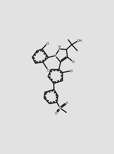 CC(C)(O)C1NN(c2c(Cl)cccc2Cl)C(c2ccc(-c3cccc(S(C)(=O)=O)c3)cc2Cl)=C1Cl